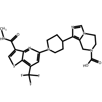 CNC(=O)c1csc2c(C(F)(F)F)cc(N3CCC(c4ncn5c4CN(C(=O)O)CC5)CC3)nc12